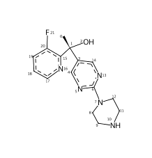 C[C@@](O)(c1cnc(N2CCNCC2)nc1)c1ncccc1F